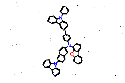 c1ccc(-n2c3ccccc3c3cc(-c4ccc(N(c5ccc6cc(-n7c8ccccc8c8ccccc87)ccc6c5)c5cccc6c5oc5ccccc56)cc4)ccc32)cc1